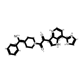 N#CC(=C1CCN(C(=O)C(=O)c2c[nH]c3c(-c4ncco4)ccnc23)CC1)c1ccccc1